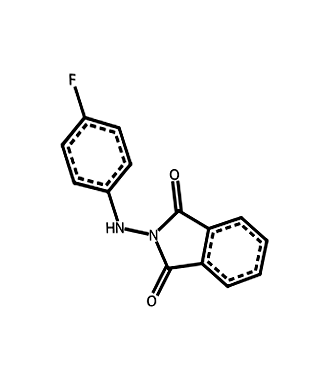 O=C1c2ccccc2C(=O)N1Nc1ccc(F)cc1